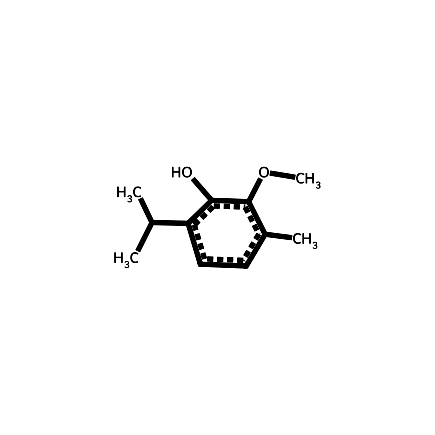 COc1c(C)ccc(C(C)C)c1O